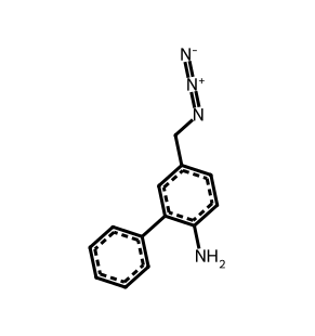 [N-]=[N+]=NCc1ccc(N)c(-c2ccccc2)c1